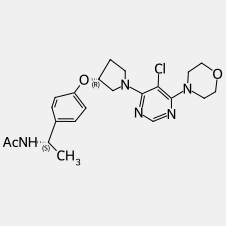 CC(=O)N[C@@H](C)c1ccc(O[C@@H]2CCN(c3ncnc(N4CCOCC4)c3Cl)C2)cc1